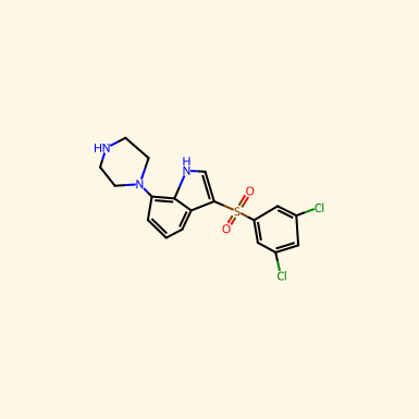 O=S(=O)(c1cc(Cl)cc(Cl)c1)c1c[nH]c2c(N3CCNCC3)cccc12